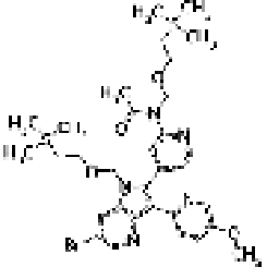 COc1ccc(-c2c(-c3ccnc(N(COCCS(C)(C)C)C(C)=O)c3)n(COCCS(C)(C)C)c3cc(Br)cnc23)nc1